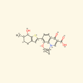 COc1c(-c2cc3c(s2)C(O)C(C)CC3)ccc2c(=O)c(C(=O)O)cn(C3CC3)c12